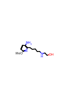 COc1ccc(N)c(CCCCCNCCO)n1